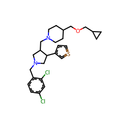 Clc1ccc(CN2CC(CN3CCC(COCC4CC4)CC3)C(c3ccsc3)C2)c(Cl)c1